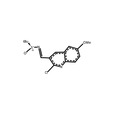 COc1ccc2nc(Cl)c(C=N[S@@+]([O-])C(C)(C)C)cc2c1